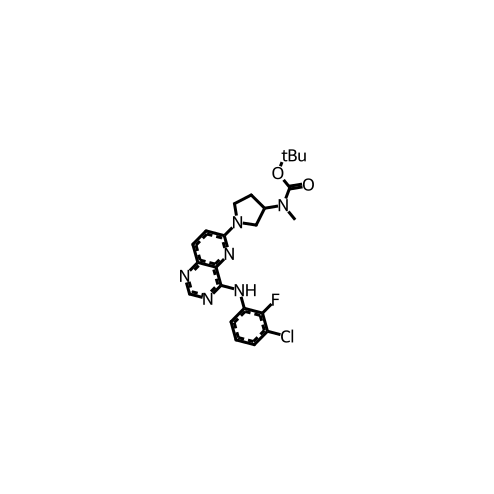 CN(C(=O)OC(C)(C)C)C1CCN(c2ccc3ncnc(Nc4cccc(Cl)c4F)c3n2)C1